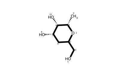 C[C@@H]1OC(CO)C[C@H](O)[C@@H]1O